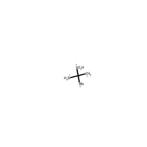 CC(C)(C)C(C)([SiH3])S(=O)(=O)O